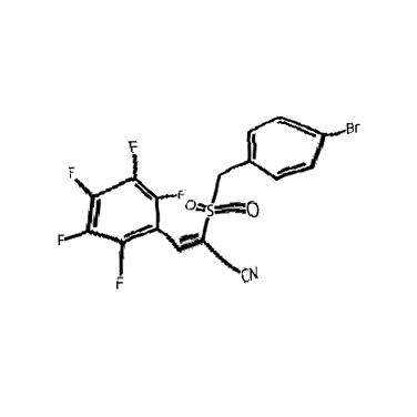 N#C/C(=C/c1c(F)c(F)c(F)c(F)c1F)S(=O)(=O)Cc1ccc(Br)cc1